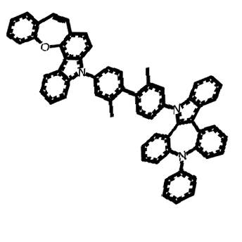 Cc1cc(-n2c3c(c4ccccc42)-c2ccccc2N(c2ccccc2)c2ccccc2-3)ccc1-c1ccc(-n2c3ccccc3c3c4c(ccc32)C=Cc2ccccc2O4)cc1C